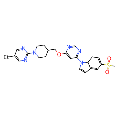 CCc1cnc(N2CCC(COc3cc(N4C=CC5=CC(S(C)(=O)=O)=CCC54)ncn3)CC2)nc1